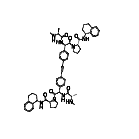 CN[C@@H](C)C(=O)NC(C(=O)N1CCC[C@H]1C(=O)NC1CCCc2ccccc21)c1ccc(C#Cc2ccc(C(NC(=O)[C@H](C)NC)C(=O)N3CCC[C@H]3C(=O)NC3CCCc4ccccc43)cc2)cc1